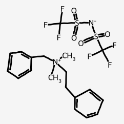 C[N+](C)(CCc1ccccc1)Cc1ccccc1.O=S(=O)([N-]S(=O)(=O)C(F)(F)F)C(F)(F)F